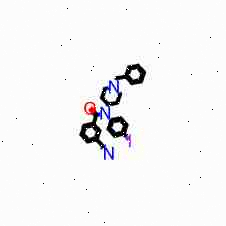 N#Cc1cccc(C(=O)N(c2ccc(I)cc2)C2CCN(Cc3ccccc3)CC2)c1